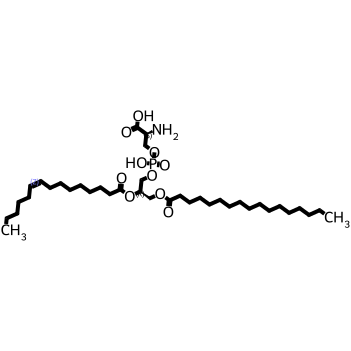 CCCCC/C=C\CCCCCCCC(=O)O[C@H](COC(=O)CCCCCCCCCCCCCCCC)COP(=O)(O)OC[C@H](N)C(=O)O